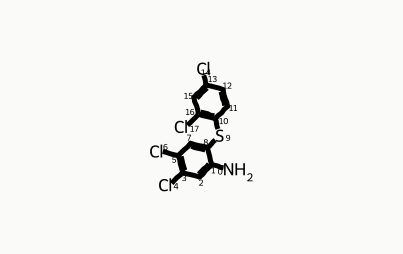 Nc1cc(Cl)c(Cl)cc1Sc1ccc(Cl)cc1Cl